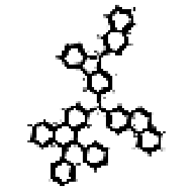 c1ccc(-c2c(-c3ccccc3)c3cc(N(c4ccc5c(ccc6ccccc65)c4)c4ccc5c(c4)c4ccccc4n5-c4ccc5ccccc5c4)ccc3c3ccccc23)cc1